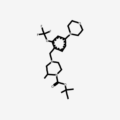 CC1CN(Cc2ccc(N3CCOCC3)cc2OC(F)(F)F)CCN1C(=O)OC(C)(C)C